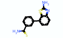 NC(=S)c1cccc(-c2cccc3nc(N)sc23)c1